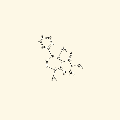 C[C@H](N)C(=O)C1=C(N)N(c2ccccc2)C=CN(C)C1=O